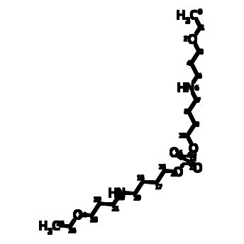 CCOCCCNCCCCOS(=O)(=O)OCCCCNCCCOCC